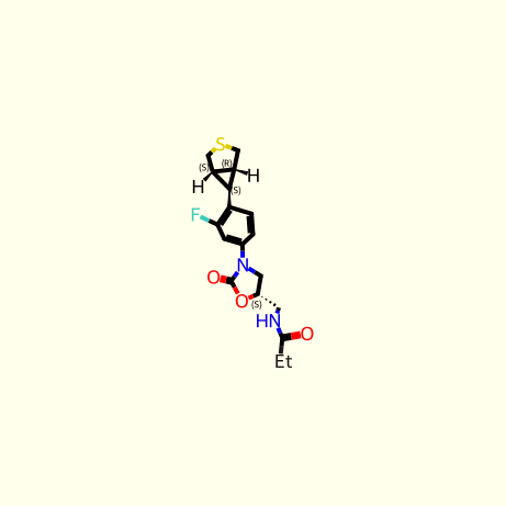 CCC(=O)NC[C@H]1CN(c2ccc([C@H]3[C@@H]4CSC[C@@H]43)c(F)c2)C(=O)O1